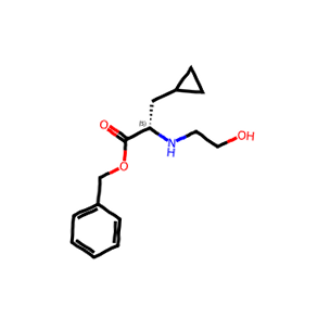 O=C(OCc1ccccc1)[C@H](CC1CC1)NCCO